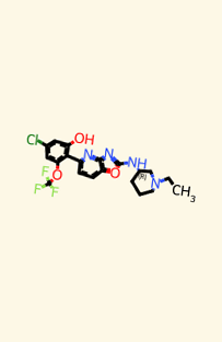 CCN1CCC[C@@H](Nc2nc3nc(-c4c(O)cc(Cl)cc4OC(F)(F)F)ccc3o2)C1